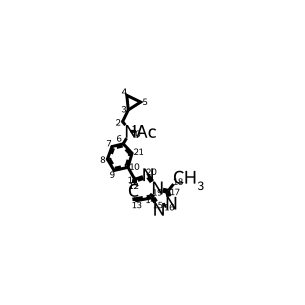 CC(=O)N(CC1CC1)c1cccc(-c2ccc3nnc(C)n3n2)c1